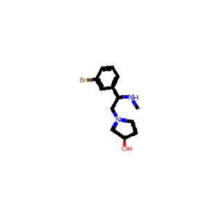 CNC(CN1CC[C@@H](O)C1)c1cccc(Br)c1